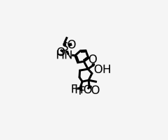 CCS(=O)(=O)Nc1cccc(C2(C(=O)O)CCC(C(F)F)C(C)(C(=O)O)C2)c1